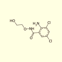 Nc1c(Cl)cc(Cl)cc1C(=O)NOCCO